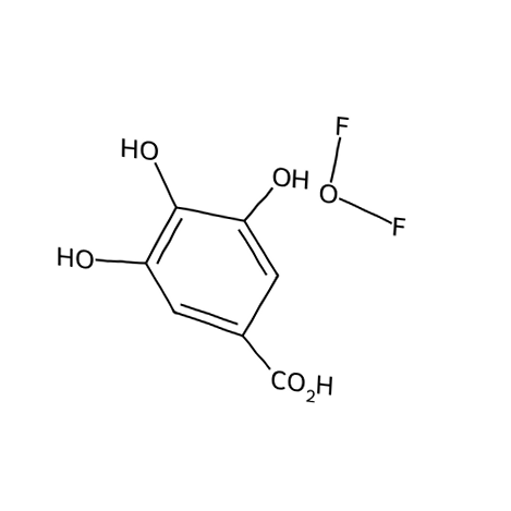 FOF.O=C(O)c1cc(O)c(O)c(O)c1